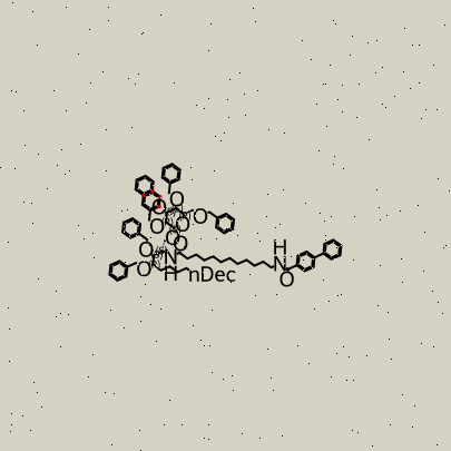 CCCCCCCCCCCCCC[C@@H](OCc1ccccc1)[C@@H](OCc1ccccc1)[C@H](CO[C@H]1O[C@H](COCc2ccccc2)[C@H](OCc2ccccc2)[C@H](OCc2ccccc2)[C@H]1OCc1ccccc1)NC(=O)CCCCCCCCCCCNC(=O)c1ccc(-c2ccccc2)cc1